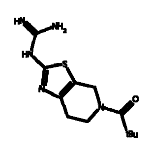 CC(C)(C)C(=O)N1CCc2nc(NC(=N)N)sc2C1